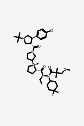 CCN(C(=O)[C@@H]1CCC[N+]1(C)[C@H]1CCN(C(=O)[C@@H]2CN(C(C)(C)C)C[C@H]2c2ccc(Cl)cc2)C1)N(C(=O)C(C)(C)COC)C1CCC(F)(F)CC1